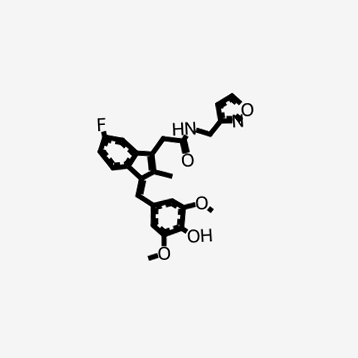 COc1cc(C=C2C(C)=C(CC(=O)NCc3ccon3)c3cc(F)ccc32)cc(OC)c1O